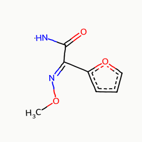 CO/N=C(/C([NH])=O)c1ccco1